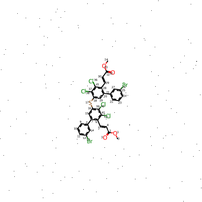 COC(=O)/C=C/c1c(-c2cccc(Br)c2)cc(Sc2cc(-c3cccc(Br)c3)c(/C=C/C(=O)OC)c(Cl)c2Cl)c(Cl)c1Cl